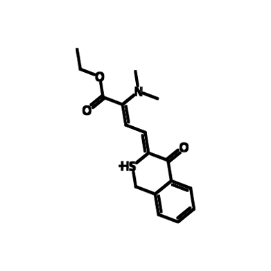 CCOC(=O)C(=CC=C1[SH]Cc2ccccc2C1=O)N(C)C